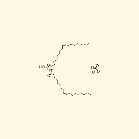 CCCCCCCC/C=C\CCCCCCCC(=O)[N+](C)(CCO)C(=O)CCCCCCC/C=C\CCCCCCCC.COS(=O)(=O)[O-]